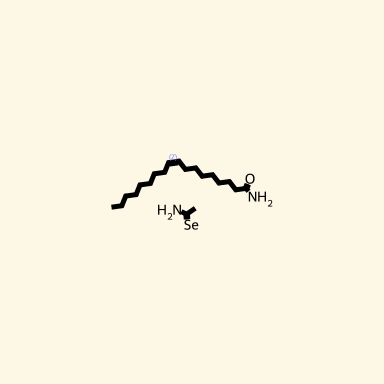 CC(N)=[Se].CCCCCCCC/C=C\CCCCCCCC(N)=O